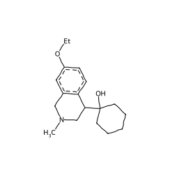 CCOc1ccc2c(c1)CN(C)CC2C1(O)CCCCC1